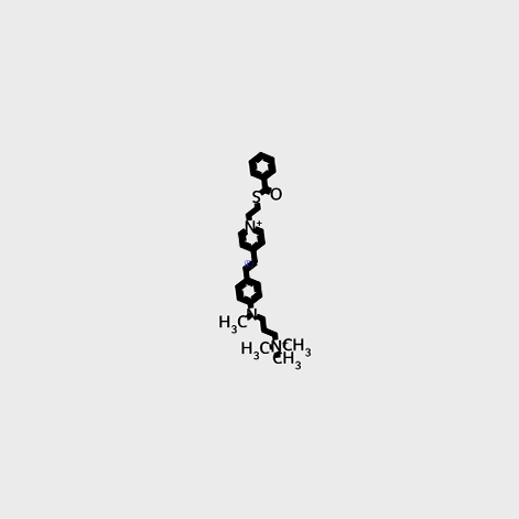 CN(CCC[N+](C)(C)C)c1ccc(/C=C/c2cc[n+](CCSC(=O)c3ccccc3)cc2)cc1